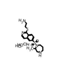 CC1CNCCCN1S(=O)(=O)c1ccc2c(SCCN)nccc2c1.Cl.Cl.Cl